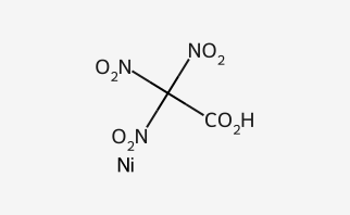 O=C(O)C([N+](=O)[O-])([N+](=O)[O-])[N+](=O)[O-].[Ni]